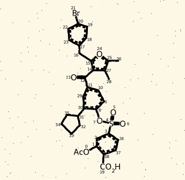 CC(=O)Oc1cc(S(=O)(=O)Oc2ccc(C(=O)c3c(Cc4ccc(Br)cc4)oc(C)c3C)cc2C2CCCC2)ccc1C(=O)O